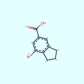 O=C(O)c1cc(Br)c2c(c1)CCC2